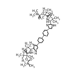 CN(C)C(=O)OC(C)(C(=O)N[C@H](c1nc(-c2ccc(-c3ccc(-c4c[nH]c([C@@H](NC(=O)C(C)(OC(=O)N(C)C)C(C)(C)C)C(C)(C)C)n4)cc3)cc2)c[nH]1)C(C)(C)C)C(C)(C)C